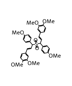 COc1ccc(C(C=Cc2ccc(OC)c(OC)c2)S(=O)(=O)C(C=Cc2ccc(OC)c(OC)c2)c2ccc(OC)cc2)cc1